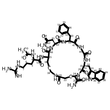 CC(=O)NC(CCCNC(=N)N)C(=O)NC1CCCNC(=O)CCC(C(N)=O)NC(=O)[C@H](Cc2c[nH]c3ccccc23)NC(=O)CNC(=O)C(Cc2ccccc2)NC(=O)[C@H](CC(N)=O)NC1=O